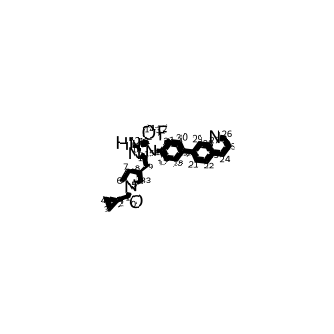 O=C(C1CC1)N1CC[C@@H](Cc2n[nH]c(=O)n2-c2ccc(-c3ccc4cccnc4c3)cc2F)C1